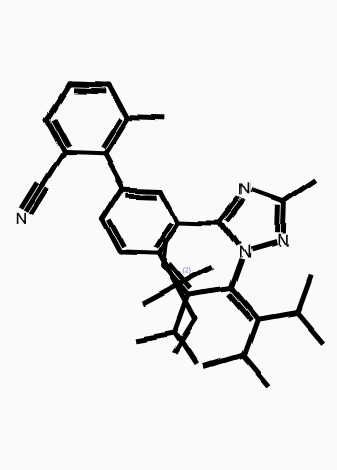 C/C=C(\C(=C(C(C)C)C(C)C)n1nc(C)nc1-c1cc(-c2c(C)cccc2C#N)ccc1C(C)(C)CC)C(C)C